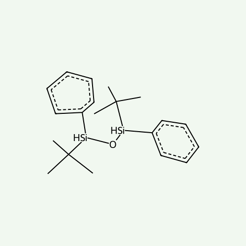 CC(C)(C)[SiH](O[SiH](c1ccccc1)C(C)(C)C)c1ccccc1